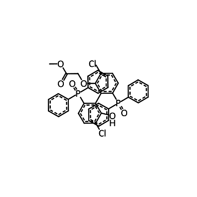 COC(=O)COc1c(Cl)ccc(P(=O)(c2ccccc2)c2ccccc2)c1-c1c(P(=O)(c2ccccc2)c2ccccc2)ccc(Cl)c1O